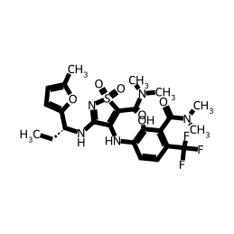 CC[C@@H](NC1=NS(=O)(=O)C(C(=O)N(C)C)=C1Nc1ccc(C(F)(F)F)c(C(=O)N(C)C)c1O)c1ccc(C)o1